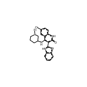 CCN1CCCC(Nc2c(-c3nc4ccccc4[nH]3)c(=O)[nH]c3ccc(Cl)cc23)C1